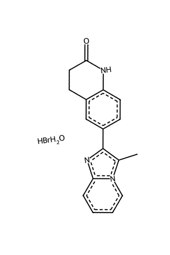 Br.Cc1c(-c2ccc3c(c2)CCC(=O)N3)nc2ccccn12.O